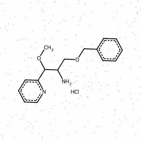 COC(c1ccccn1)C(N)COCc1ccccc1.Cl